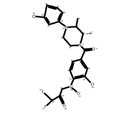 CC1[C@H](C)N(C(=O)c2ccc([S+]([O-])CC(=O)C(F)F)c(Cl)c2)CCN1c1cccc(Cl)c1